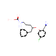 N#Cc1ccc(Cl)cc1OC(CCCNC(=O)O)Cc1ccccc1